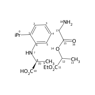 CC(C)c1ccccc1N[C@@H](C)C(=O)O.CCOC(=O)C(C)OC(=O)CN